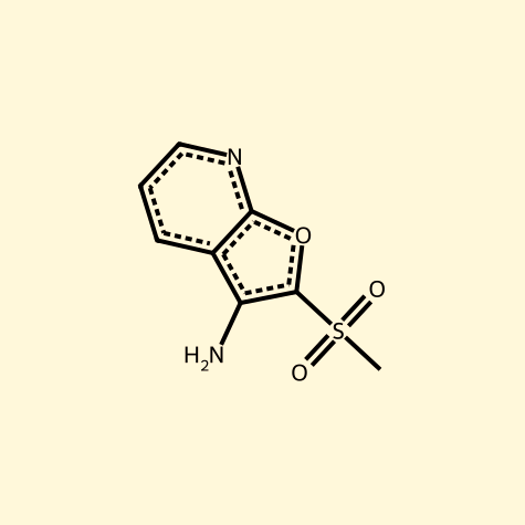 CS(=O)(=O)c1oc2ncccc2c1N